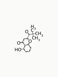 CC(C)(C)C(=O)c1cc(=O)c2c(O)cccc2o1